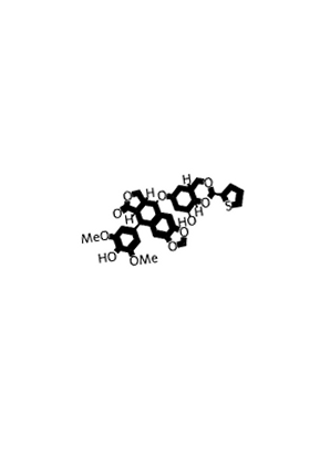 COc1cc([C@@H]2c3cc4c(cc3[C@@H](OC3C[C@@H]5CO[C@@H](C6CC=CS6)O[C@H]5[C@H](O)C3)[C@H]3COC(=O)[C@H]23)OCO4)cc(OC)c1O